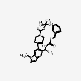 C[C@H](NC(=O)OCc1ccccc1)c1nc2ccn(C)c2cc1C1=CCN(C(=O)OC(C)(C)C)CC1